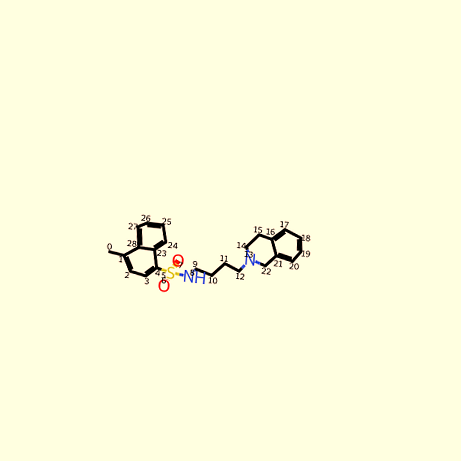 Cc1ccc(S(=O)(=O)NCCCCN2CCc3ccccc3C2)c2ccccc12